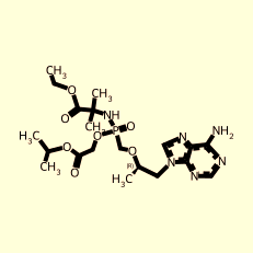 CCOC(=O)C(C)(C)NP(=O)(CO[C@H](C)Cn1cnc2c(N)ncnc21)OCC(=O)OC(C)C